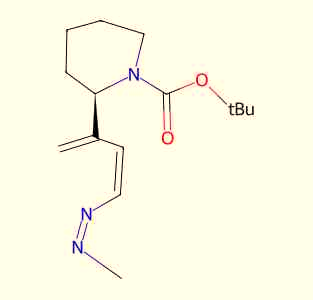 C=C(/C=C\N=N/C)[C@H]1CCCCN1C(=O)OC(C)(C)C